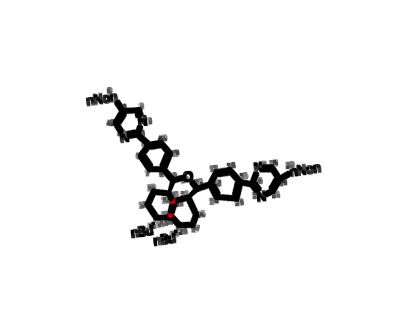 CCCCCCCCCc1cnc(-c2ccc(C(OC(c3ccc(-c4ncc(CCCCCCCCC)cn4)cc3)[C@H]3CC[C@H](CCCC)CC3)[C@H]3CC[C@H](CCCC)CC3)cc2)nc1